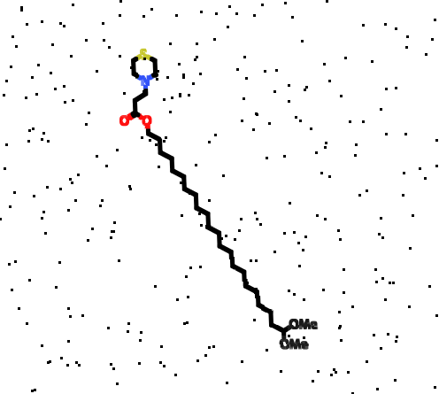 COC(CCCCCCCCCCCCCCCCCCCCCOC(=O)CCN1CCSCC1)OC